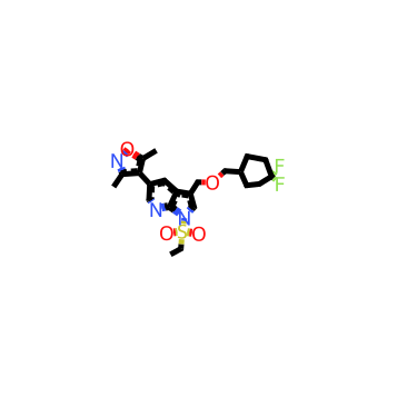 CCS(=O)(=O)n1cc(COCC2CCC(F)(F)CC2)c2cc(-c3c(C)noc3C)cnc21